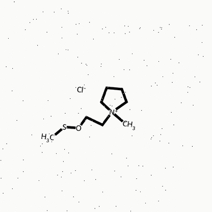 CSOCC[N+]1(C)CCCC1.[Cl-]